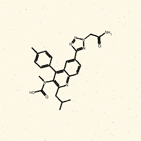 Cc1ccc(-c2c(N(C)C(=O)O)c(CC(C)C)nc3ccc(-c4nnn(CC(N)=O)n4)cc23)cc1